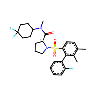 Cc1ccc(S(=O)(=O)N2CCC[C@H]2C(=O)N(C)C2CCC(F)(F)CC2)c(-c2ccccc2F)c1C